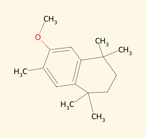 COc1cc2c(cc1C)C(C)(C)CCC2(C)C